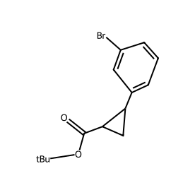 CC(C)(C)OC(=O)C1CC1c1cccc(Br)c1